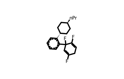 CCC[C@H]1CC[C@H](c2ccccc2C2(F)C=C(F)CC=C2F)CC1